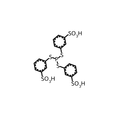 O=S(=O)(O)c1cccc(SP(Sc2cccc(S(=O)(=O)O)c2)Sc2cccc(S(=O)(=O)O)c2)c1